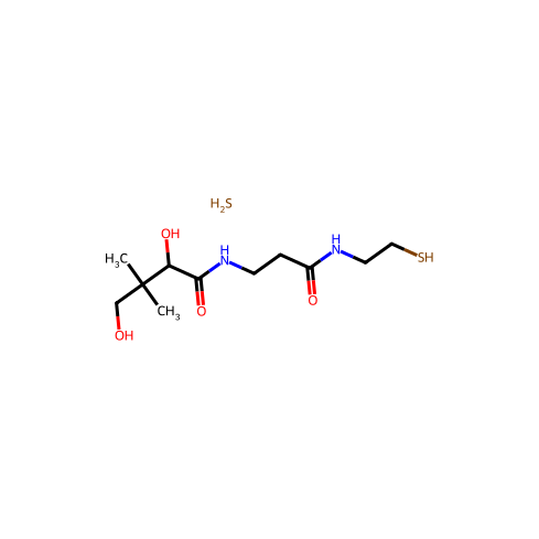 CC(C)(CO)C(O)C(=O)NCCC(=O)NCCS.S